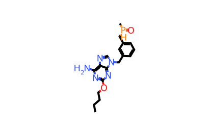 CCCCOc1nc(N)c2ncn(Cc3cccc(C[PH](C)=O)c3)c2n1